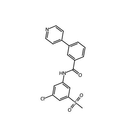 CS(=O)(=O)c1cc(Cl)cc(NC(=O)c2cccc(-c3ccncc3)c2)c1